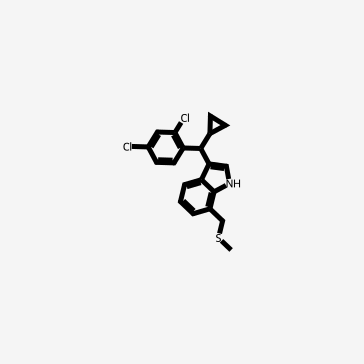 CSCc1cccc2c(C(c3ccc(Cl)cc3Cl)C3CC3)c[nH]c12